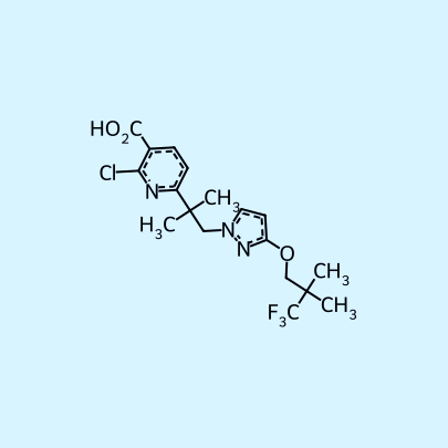 CC(C)(Cn1ccc(OCC(C)(C)C(F)(F)F)n1)c1ccc(C(=O)O)c(Cl)n1